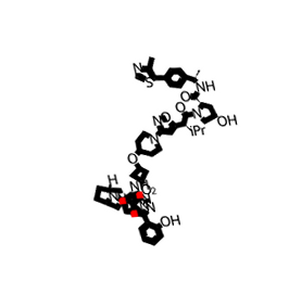 Cc1ncsc1-c1ccc([C@H](C)NC(=O)[C@@H]2C[C@@H](O)CN2C(=O)[C@@H](c2cc(N3CCC(OC4CC(Oc5cc(N6C7CC[C@@H]6CN(c6cc(-c8ccccc8O)nnc6N)C7)ccn5)C4)CC3)no2)C(C)C)cc1